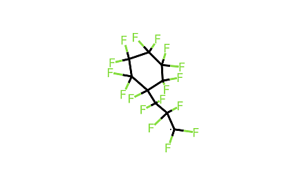 F[C](F)C(F)(F)C(F)(F)C1(F)C(F)(F)C(F)(F)C(F)(F)C(F)(F)C1(F)F